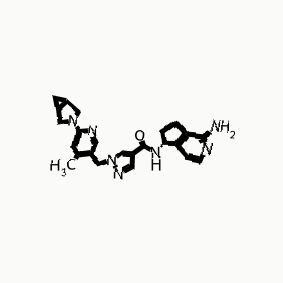 Cc1cc(N2CC3CC3C2)ncc1Cn1cc(C(=O)N[C@@H]2CCc3c2ccnc3N)cn1